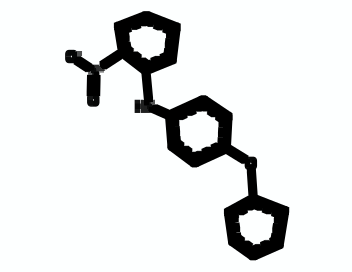 O=[N+]([O-])c1ccccc1Nc1ccc(Oc2ccccc2)cc1